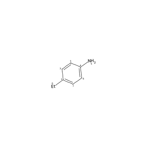 CCc1c[c]c(N)cc1